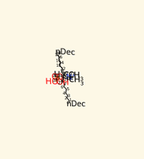 CCCCCCCCCCCCCCCCCCC(CCCCCCCCCCCCCCCCCC)(C[N+](C)(C)C)OP(=O)(O)O